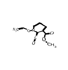 C=CON1CCC=C(C(=O)OC)C1=C=O